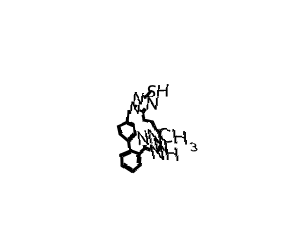 CCCCc1nc(S)nn1Cc1ccc(-c2ccccc2-c2nnn[nH]2)cc1